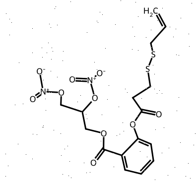 C=CCSSCCC(=O)Oc1ccccc1C(=O)OCC(CO[N+](=O)[O-])O[N+](=O)[O-]